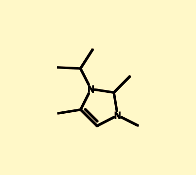 CC1=CN(C)C(C)N1C(C)C